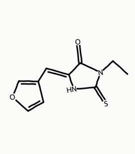 CCN1C(=O)/C(=C/c2ccoc2)NC1=S